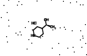 C[C@H](O)C1CCNCC1.Cl